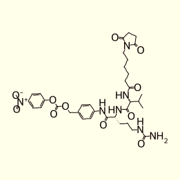 CC(C)[C@H](NC(=O)CCCCCN1C(=O)CCC1=O)C(=O)N[C@H](CCCNC(N)=O)C(=O)Nc1ccc(COC(=O)Oc2ccc([N+](=O)[O-])cc2)cc1